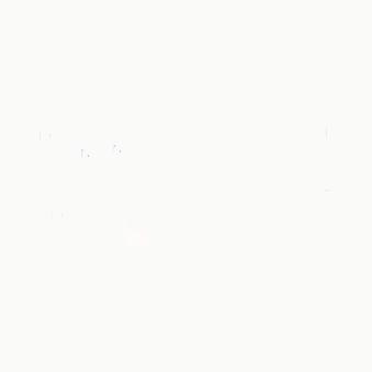 Cc1c(O)c(-c2ccc(C(C)C)cc2)nn1C